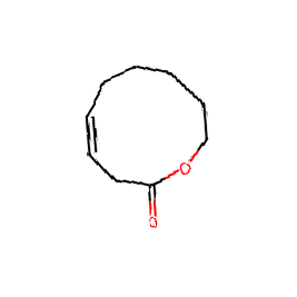 O=C1CC=CCCCCCO1